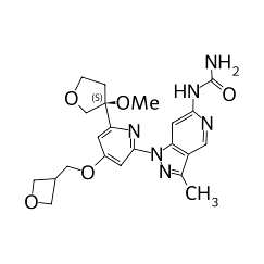 CO[C@]1(c2cc(OCC3COC3)cc(-n3nc(C)c4cnc(NC(N)=O)cc43)n2)CCOC1